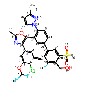 C=C/C=C(\C=C(/CCl)OC(F)F)c1nc(C)oc1-c1cc(-c2cc(F)c(CO)c(S(C)(=O)=O)c2)ccc1-n1ccc(C(F)(F)F)n1